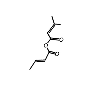 C/C=C/C(=O)OC(=O)C=C(C)C